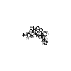 CCn1c(=O)c(C(=O)CN2CCCC[C@@H]2C(=O)N2CCOCC2)c(N)n(Cc2ccc(F)cc2)c1=O